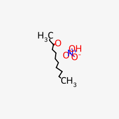 CCCCCCCCC(=O)CC.O=[N+]([O-])O